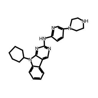 c1ccc2c(c1)c1cnc(Nc3ccc(N4CCNCC4)cn3)nc1n2C1CCCCC1